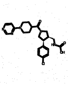 O=C(O)NC[C@H]1CN(C(=O)C2CCN(c3ccncn3)CC2)C[C@H]1c1ccc(Cl)cc1